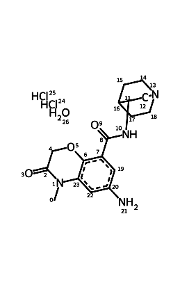 CN1C(=O)COc2c(C(=O)NC3CN4CCC3CC4)cc(N)cc21.Cl.Cl.O